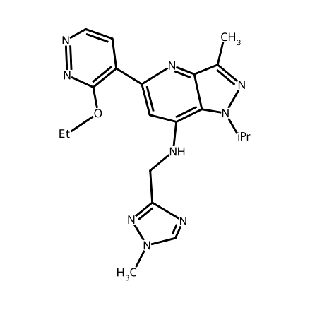 CCOc1nnccc1-c1cc(NCc2ncn(C)n2)c2c(n1)c(C)nn2C(C)C